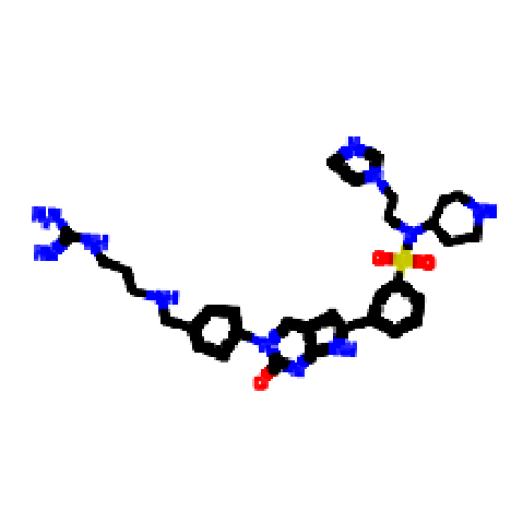 N=C(N)NCCCNCc1ccc(-n2cc3cc(-c4cccc(S(=O)(=O)N(CCn5ccnc5)C5CCNCC5)c4)[nH]c3nc2=O)cc1